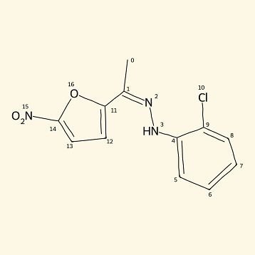 CC(=NNc1ccccc1Cl)c1ccc([N+](=O)[O-])o1